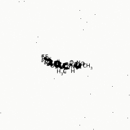 COc1ccc(NC(=O)N2CCC(=Cc3cccc(Oc4ccc(C(F)(F)F)nc4)c3)C(C)C2)cn1